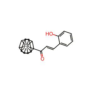 O=C(C=Cc1ccccc1O)[C]12[CH]3[CH]4[CH]5[CH]1[Fe]45321678[CH]2[CH]1[CH]6[CH]7[CH]28